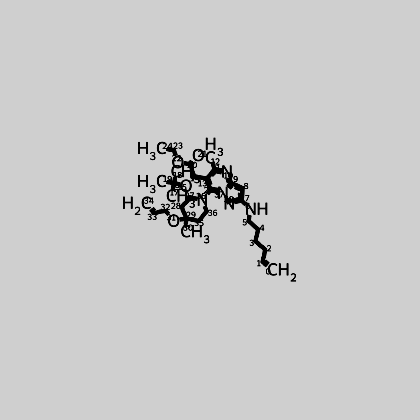 C=CCCCCNc1cc2nc(C)c(C(OC(C)(C)C)C(=O)OCC)c(N3CCC(C)(OCC=C)CC3)n2n1